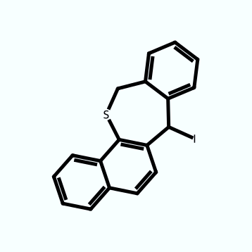 IC1c2ccccc2CSc2c1ccc1ccccc21